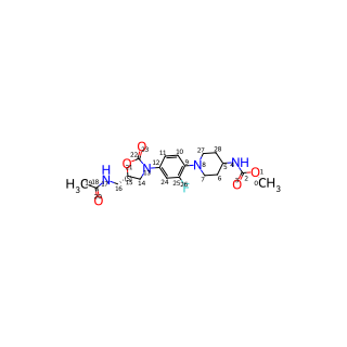 COC(=O)NC1CCN(c2ccc(N3C[C@H](CNC(C)=O)OC3=O)cc2F)CC1